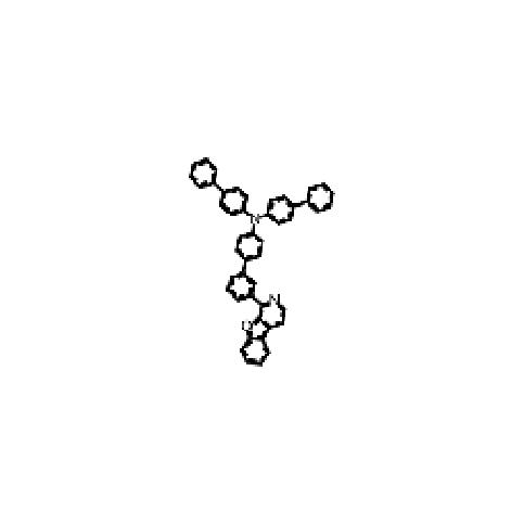 c1ccc(-c2ccc(N(c3ccc(-c4ccccc4)cc3)c3ccc(-c4cccc(-c5nccc6c5oc5ccccc56)c4)cc3)cc2)cc1